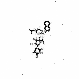 CC(C)OC(=O)[C@H](C)NP(=S)(OC[C@@]1(C(F)F)O[C@@H](n2cc(F)c(=O)[nH]c2=O)[C@H](O)C1(F)F)Oc1ccc2ccccc2c1